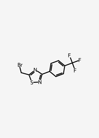 FC(F)(F)c1ccc(-c2nsc(CBr)n2)cc1